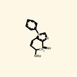 CNC(C)/C=C\c1c(C=N)ncn1-c1ccccc1